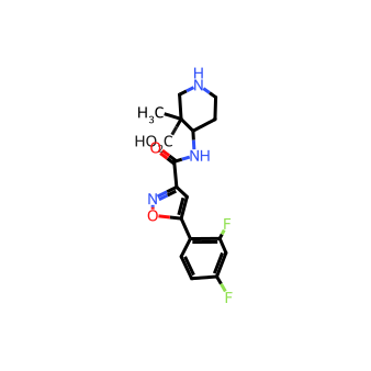 CC1(C(=O)O)CNCCC1NC(=O)c1cc(-c2ccc(F)cc2F)on1